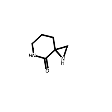 O=C1NCCCC12CN2